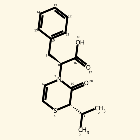 CC(C)[C@@H]1SC=CN([C@@H](Cc2ccccc2)C(=O)O)C1=O